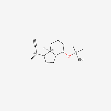 C#C[C@H](C)C1CCC2C(O[Si](C)(C)C(C)(C)C)CCC[C@@]21C